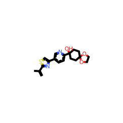 C=C(C)c1nc(-c2ccc(C3(O)CCC4(CC3)OCCO4)nc2)cs1